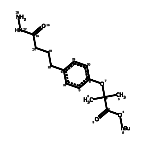 CCCCOC(=O)C(C)(C)Oc1ccc(CCCC(=O)NN)cc1